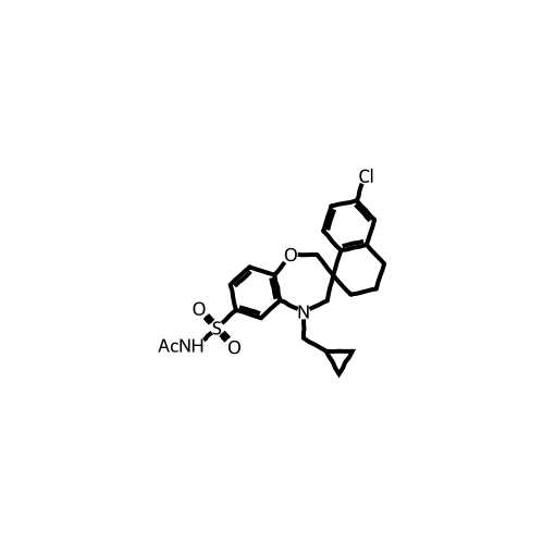 CC(=O)NS(=O)(=O)c1ccc2c(c1)N(CC1CC1)CC1(CCCc3cc(Cl)ccc31)CO2